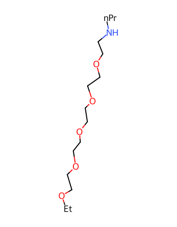 CCCNCCOCCOCCOCCOCCOCC